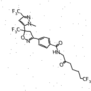 Cn1nc(C(F)(F)F)cc1C1(C(F)(F)F)CC(c2ccc(C(=O)NCC(=O)CCCCC(F)(F)F)cc2)=NO1